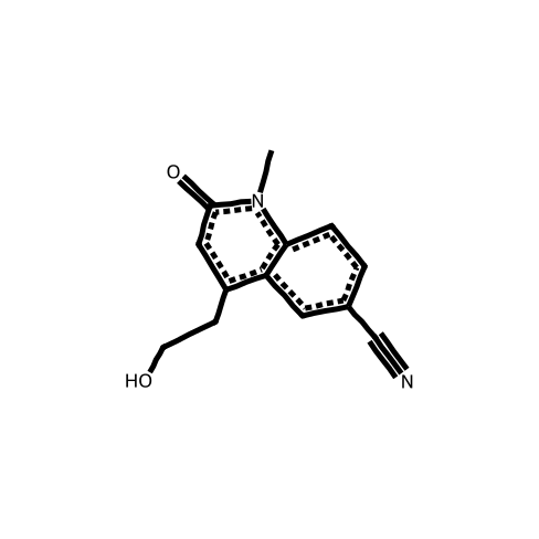 Cn1c(=O)cc(CCO)c2cc(C#N)ccc21